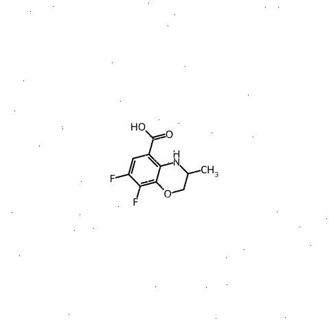 CC1COc2c(F)c(F)cc(C(=O)O)c2N1